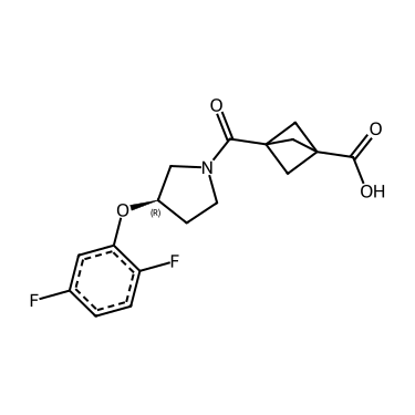 O=C(O)C12CC(C(=O)N3CC[C@@H](Oc4cc(F)ccc4F)C3)(C1)C2